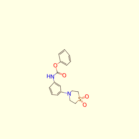 O=C(Nc1cccc(N2CCS(=O)(=O)CC2)c1)Oc1ccccc1